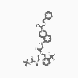 CN(CCN(Cc1ncccc1C(F)(F)F)C(=O)CNc1cccc2c1CCN(C(=O)OCc1ccccc1)C2)C(=O)OC(C)(C)C